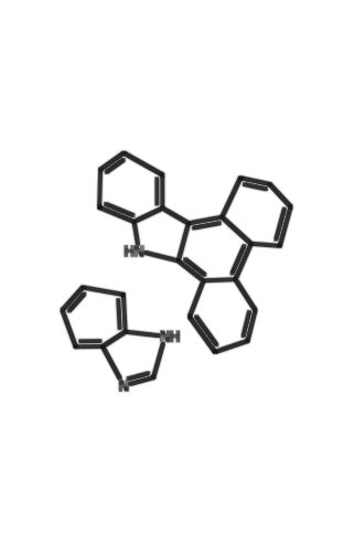 c1ccc2[nH]cnc2c1.c1ccc2c(c1)[nH]c1c3ccccc3c3ccccc3c21